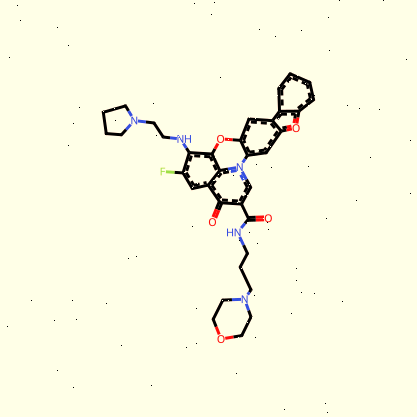 O=C(NCCCN1CCOCC1)c1cn2c3c(c(NCCN4CCCC4)c(F)cc3c1=O)Oc1cc3c(cc1-2)oc1ccccc13